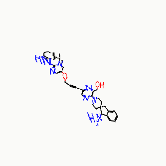 CNc1ncc(OCC#Cc2cnc(N3CCC4(CC3)Cc3ccccc3C4N)c(CO)n2)cn1